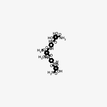 COc1cc(OC)c(C(=O)N[C@H]2CC[C@H](NC(=O)c3cc(C(N)=O)c(O)cc3O)CC2)cc1C(=O)N[C@H]1CC[C@H](NC(=O)c2cc(C(N)=O)c(O)cc2O)CC1